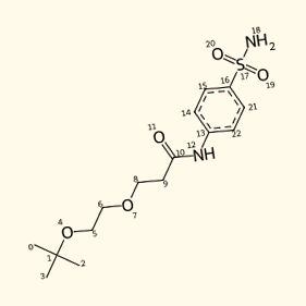 CC(C)(C)OCCOCCC(=O)Nc1ccc(S(N)(=O)=O)cc1